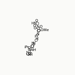 COc1cc(N2CC(F)(CN3CCC(n4cc5cc(NC(=O)c6cnn7cccnc67)c(OC(C)C)cc5n4)CC3)C2)cc2c1C(=O)N(C1CCC(=O)NC1=O)C2=O